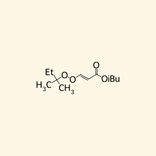 CCC(C)(C)OOC=CC(=O)O[C]C(C)C